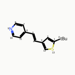 CC(C)(C)c1cc(/C=C/c2ccncc2)cs1